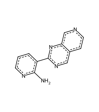 Nc1ncccc1-c1ncc2ccncc2n1